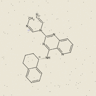 C=CN(/C=N\C)c1nc(N[C@H]2CCCc3ccccc32)c2ncccc2n1